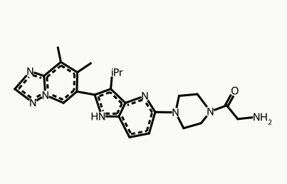 Cc1c(-c2[nH]c3ccc(N4CCN(C(=O)CN)CC4)nc3c2C(C)C)cn2ncnc2c1C